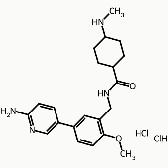 CNC1CCC(C(=O)NCc2cc(-c3ccc(N)nc3)ccc2OC)CC1.Cl.Cl